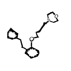 c1ccc(CCc2ccccc2OCCCCN2CCOCC2)cc1